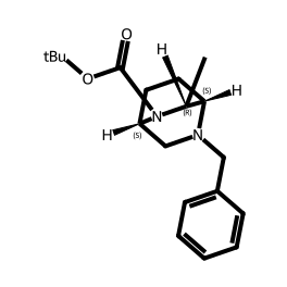 C[C@@H]1[C@@H]2CC[C@@H](CN2Cc2ccccc2)N1C(=O)OC(C)(C)C